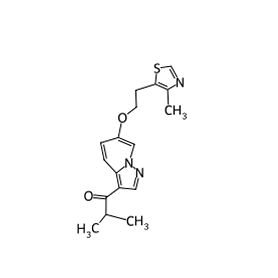 Cc1ncsc1CCOc1ccc2c(C(=O)C(C)C)cnn2c1